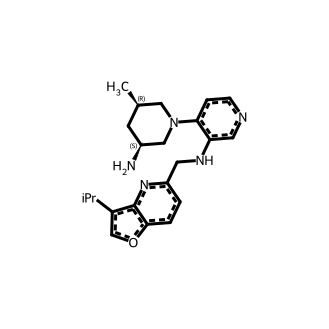 CC(C)c1coc2ccc(CNc3cnccc3N3C[C@H](C)C[C@H](N)C3)nc12